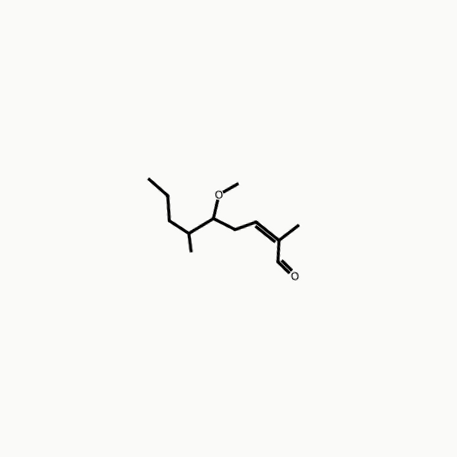 CCCC(C)C(CC=C(C)C=O)OC